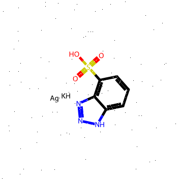 O=S(=O)(O)c1cccc2[nH]nnc12.[Ag].[KH]